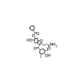 NC(=O)CCc1oc2cc(OC(=O)c3ccccc3)c(O)cc2c1C(=O)c1cc(I)c(O)c(I)c1